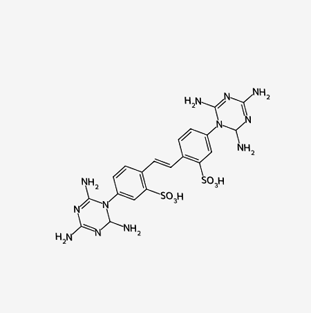 NC1=NC(N)N(c2ccc(C=Cc3ccc(N4C(N)=NC(N)=NC4N)cc3S(=O)(=O)O)c(S(=O)(=O)O)c2)C(N)=N1